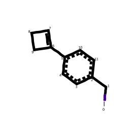 ICc1ccc(C2=CCC2)cc1